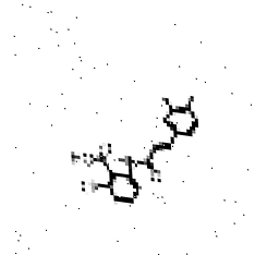 Cc1ccc(/C=C/C(=O)Nc2cccc(Cl)c2C(=O)O)cc1C